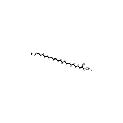 CCCCCCCCC=CCCCCCCCCCCCC(=O)OC